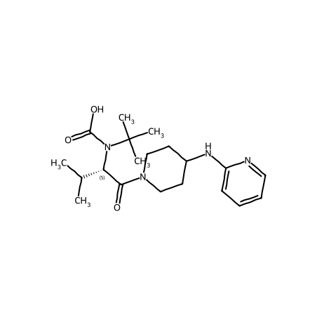 CC(C)[C@@H](C(=O)N1CCC(Nc2ccccn2)CC1)N(C(=O)O)C(C)(C)C